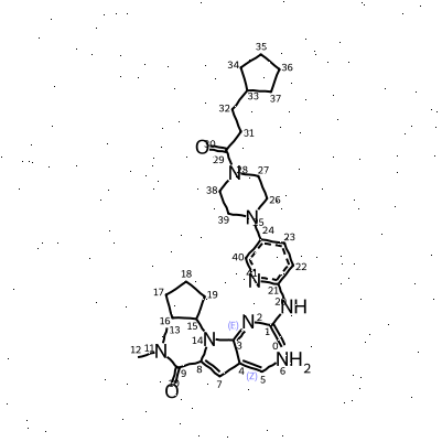 C=C(/N=C1\C(=C/N)C=C(C(=O)N(C)C)N1C1CCCC1)Nc1ccc(N2CCN(C(=O)CCC3CCCC3)CC2)cn1